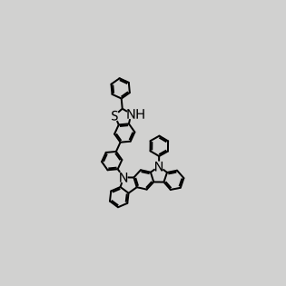 c1ccc(C2Nc3ccc(-c4cccc(-n5c6ccccc6c6cc7c8ccccc8n(-c8ccccc8)c7cc65)c4)cc3S2)cc1